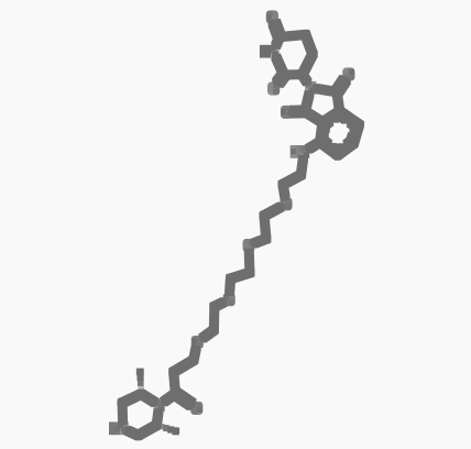 C[C@@H]1CNC[C@H](C)N1C(=O)CCOCCOCCOCCOCCNc1cccc2c1C(=O)N(C1CCC(=O)NC1=O)C2=O